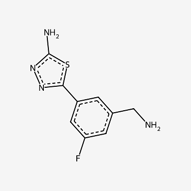 NCc1cc(F)cc(-c2nnc(N)s2)c1